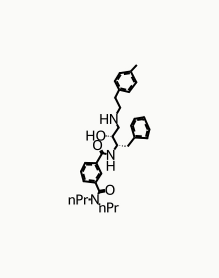 CCCN(CCC)C(=O)c1cccc(C(=O)N[C@@H](Cc2ccccc2)[C@H](O)CNCCc2ccc(C)cc2)c1